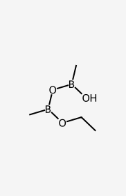 CCOB(C)OB(C)O